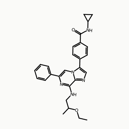 CCOC(C)CNc1nc(-c2ccccc2)cn2c(-c3ccc(C(=O)NC4CC4)cc3)cnc12